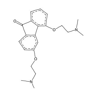 CN(C)CCOc1ccc2c(c1)-c1c(OCCN(C)C)cccc1C2=O